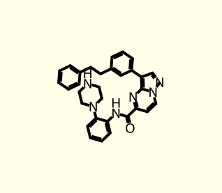 O=C(Nc1ccccc1N1CCNCC1)c1ccn2ncc(-c3cccc(CCc4ccccc4)c3)c2n1